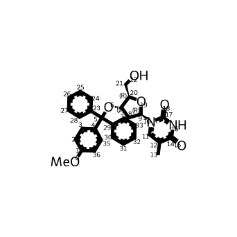 COc1ccc(C(O[C@H]2C[C@H](n3cc(C)c(=O)[nH]c3=O)O[C@@H]2CO)(c2ccccc2)c2ccccc2)cc1